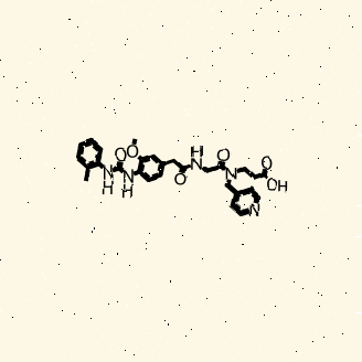 COc1cc(CC(=O)NCC(=O)N(CCC(=O)O)Cc2ccncc2)ccc1NC(=O)Nc1ccccc1C